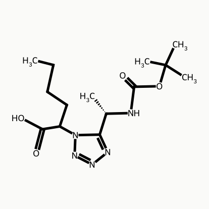 CCCCC(C(=O)O)n1nnnc1[C@H](C)NC(=O)OC(C)(C)C